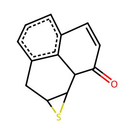 O=C1C=Cc2cccc3c2C1C1SC1C3